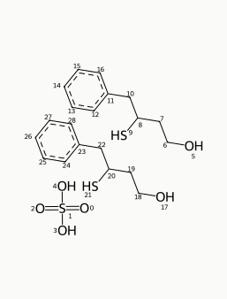 O=S(=O)(O)O.OCCC(S)Cc1ccccc1.OCCC(S)Cc1ccccc1